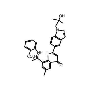 Cc1cc(C(C)Nc2ccccc2C(=O)O)c2oc(-c3ccc4c(cnn4CC(C)(C)O)c3)cc(=O)c2c1